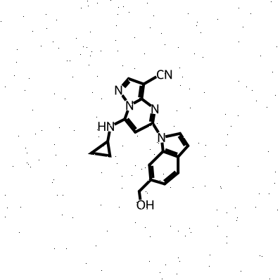 N#Cc1cnn2c(NC3CC3)cc(-n3ccc4ccc(CO)cc43)nc12